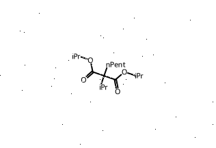 CCCCCC(C(=O)OC(C)C)(C(=O)OC(C)C)C(C)C